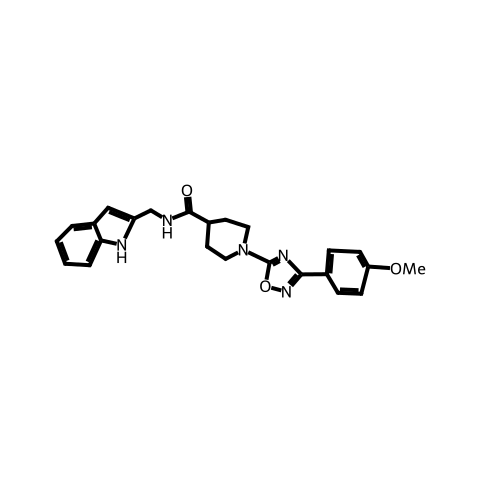 COc1ccc(-c2noc(N3CCC(C(=O)NCc4cc5ccccc5[nH]4)CC3)n2)cc1